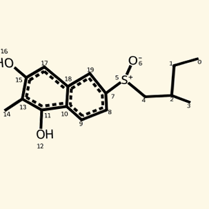 CCC(C)C[S+]([O-])c1ccc2c(O)c(C)c(O)cc2c1